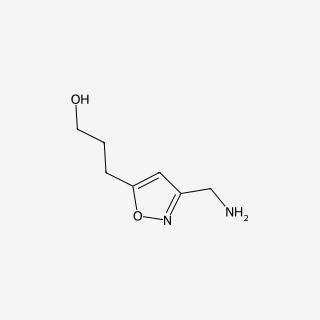 NCc1cc(CCCO)on1